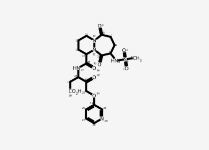 CS(=O)(=O)NC1CCC(=O)N2CCCC(C(=O)NC(CC(=O)O)C(=O)COc3cccnc3)N2C1=O